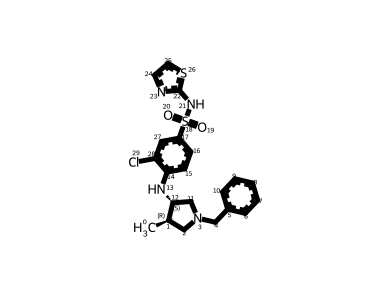 C[C@@H]1CN(Cc2ccccc2)C[C@H]1Nc1ccc(S(=O)(=O)Nc2nccs2)cc1Cl